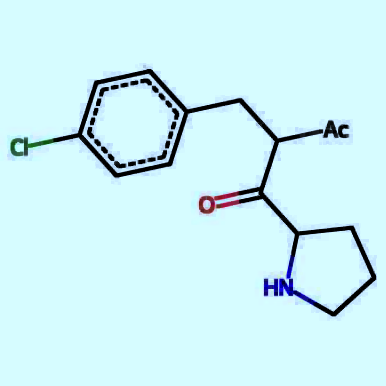 CC(=O)C(Cc1ccc(Cl)cc1)C(=O)C1CCCN1